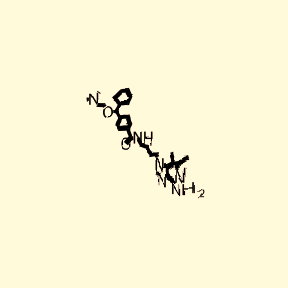 Cc1nc(N)c2ncn(CCCCNC(=O)c3ccc(C(OCCN(C)C)c4ccccc4)cc3)c2c1C